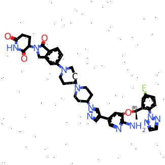 C[C@@H](Oc1cc(-c2cnn(C3CCN(C4CCN(c5ccc6c(c5)CN(C5CCC(=O)NC5=O)C6=O)CC4)CC3)c2)cnc1N)c1cc(F)ccc1-n1nccn1